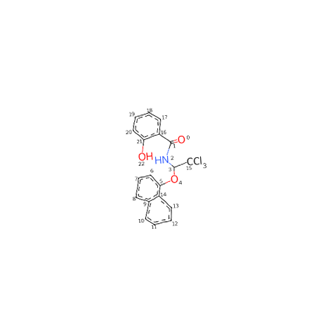 O=C(NC(Oc1cccc2ccccc12)C(Cl)(Cl)Cl)c1ccccc1O